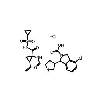 C=CC1CC1(NC(=O)[C@@H]1C[C@@H](C2c3cccc(Cl)c3CN2C(=O)O)CN1)C(=O)NS(=O)(=O)C1CC1.Cl